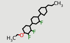 CCCC1CCC(C2CCC(C3CCC(OCC)C(F)C3F)CC2F)CC1